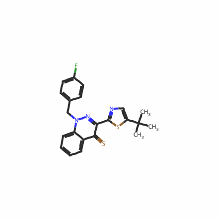 CC(C)(C)c1cnc(-c2nn(Cc3ccc(F)cc3)c3ccccc3c2=S)s1